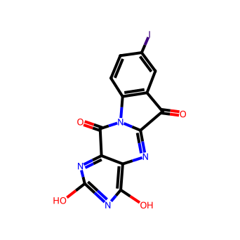 O=C1c2cc(I)ccc2-n2c1nc1c(O)nc(O)nc1c2=O